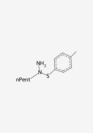 CCCCCN(N)Sc1ccc(C)cc1